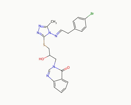 Cc1nnc(SCC(O)Cn2cnc3ccccc3c2=O)n1N=CCc1ccc(Br)cc1